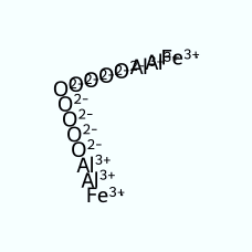 [Al+3].[Al+3].[Al+3].[Al+3].[Fe+3].[Fe+3].[O-2].[O-2].[O-2].[O-2].[O-2].[O-2].[O-2].[O-2].[O-2]